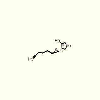 C#CCCCCSC[C@H]1CNC[C@@H]1O